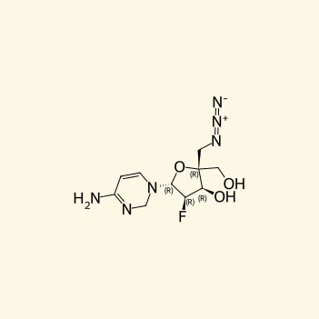 [N-]=[N+]=NC[C@]1(CO)O[C@@H](N2C=CC(N)=NC2)[C@H](F)[C@@H]1O